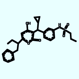 CCCS(=O)(=O)Nc1cccc(C(c2c(O)cc(C(CC)Cc3ccccc3)oc2=O)C2CC2)c1